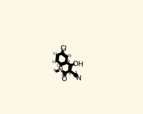 Cn1c(=O)c(C#N)c(O)c2cc(Cl)ccc21